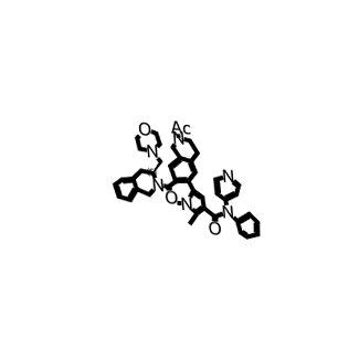 CC(=O)N1CCc2cc(-c3cc(C(=O)N(c4ccccc4)c4ccncc4)c(C)n3C)c(C(=O)N3Cc4ccccc4C[C@H]3CN3CCOCC3)cc2C1